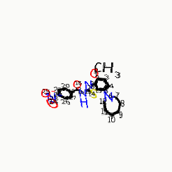 COc1ccc(N2CCCCCC2)c2sc(NC(=O)c3ccc([N+](=O)[O-])cc3)nc12